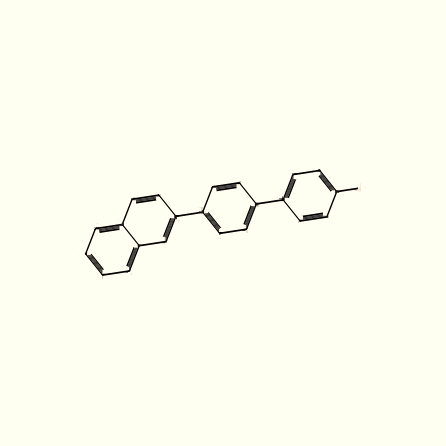 Brc1ccc(-c2ccc(-c3ccc4ccccc4c3)cc2)cc1